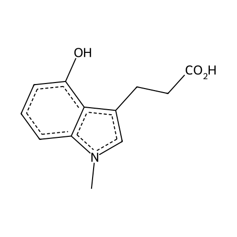 Cn1cc(CCC(=O)O)c2c(O)cccc21